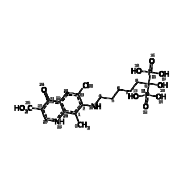 Cc1c(NCCCCCC(O)(P(=O)(O)O)P(=O)(O)O)c(Cl)cc2c(=O)c(C(=O)O)c[nH]c12